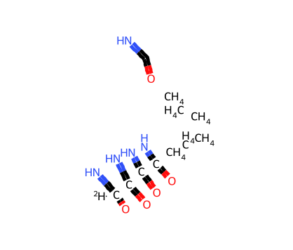 C.C.C.C.C.C.N=C=O.N=C=O.N=C=O.N=C=O.N=C=O.[2H]